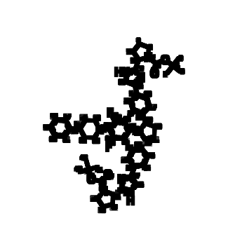 CC(C)(C)OC(=O)N1CCCC1c1nc(-c2ccc([C@H]3CC[C@H](c4ccc(-c5c[nH]c([C@@H]6CCCN6C(=O)OC(C)(C)C)n5)cc4)N3c3cc(F)c(N4CCC(c5ccccc5)CC4)c(F)c3)cc2)c[nH]1